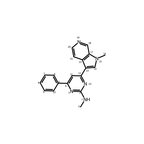 CNc1nc(-c2ccccc2)cc(-c2cn(C)c3cnccc23)n1